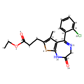 CCOC(=O)CCc1sc2c(c1C)C(c1ccccc1Cl)=NCC(=O)N2